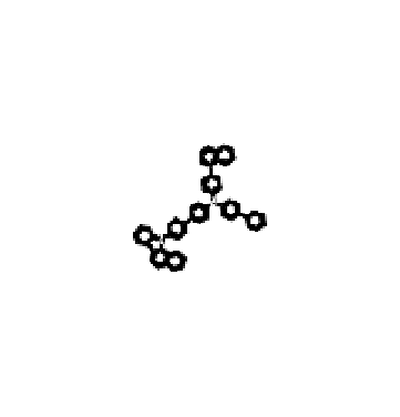 c1ccc(-c2ccc(N(c3ccc(-c4ccc(-n5c6ccccc6c6ccc7ccccc7c65)cc4)cc3)c3ccc(-c4cccc5ccccc45)cc3)cc2)cc1